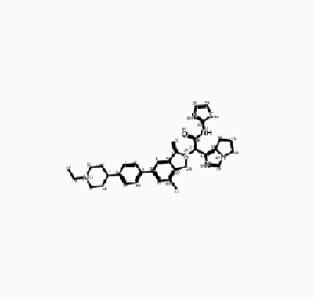 C=C1c2cc(-c3ccc(C4CCN(CC)CC4)cc3)cc(C)c2CN1C(C(=O)Nc1nccs1)c1ncn2c1CCC2